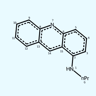 CCCNc1cccc2nc3ccccc3cc12